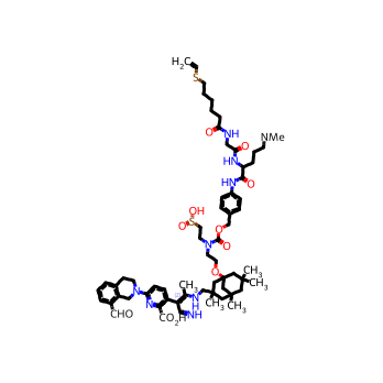 C=CSCCCCCC(=O)NCC(=O)NC(CCCNC)C(=O)Nc1ccc(COC(=O)N(CCOC23CC(C)(C)CC(C)(CC(C)(CN/C(C)=C(\C=N)c4ccc(N5CCc6cccc(C=O)c6C5)nc4C(=O)O)C2)C3)CCS(=O)O)cc1